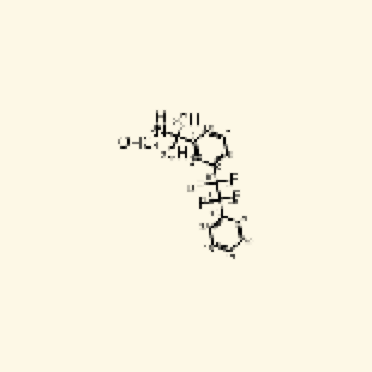 CC(C)(NC=O)c1cccc(C(F)(F)C(F)(F)c2ccccc2)c1